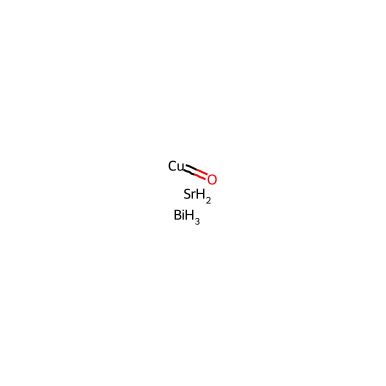 [BiH3].[O]=[Cu].[SrH2]